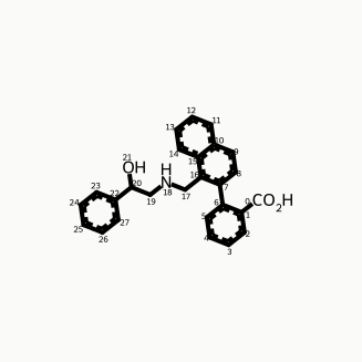 O=C(O)c1ccccc1-c1ccc2ccccc2c1CNCC(O)c1ccccc1